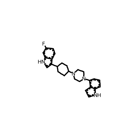 Fc1ccc2c(C3CCC(N4CCN(c5cccc6[nH]ccc56)CC4)CC3)c[nH]c2c1